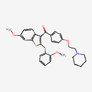 COc1ccc2c(C(=O)c3ccc(OCCN4CCCCC4)cc3)c(Cc3ccccc3OC)sc2c1